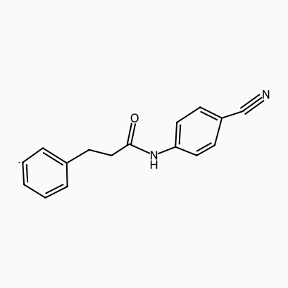 N#Cc1ccc(NC(=O)CCc2c[c]ccc2)cc1